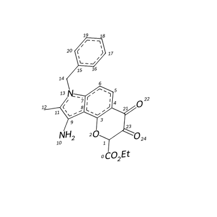 CCOC(=O)C1Oc2c(ccc3c2c(N)c(C)n3Cc2ccccc2)C(=O)C1=O